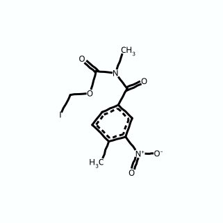 Cc1ccc(C(=O)N(C)C(=O)OCI)cc1[N+](=O)[O-]